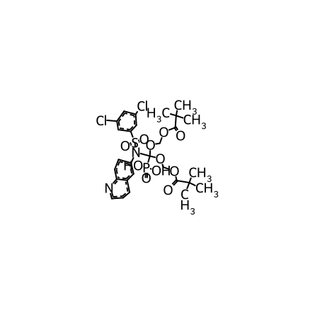 CC(C)(C)C(=O)OCOC(OCOC(=O)C(C)(C)C)(N(c1ccc2ncccc2c1)S(=O)(=O)c1cc(Cl)cc(Cl)c1)P(=O)(O)O